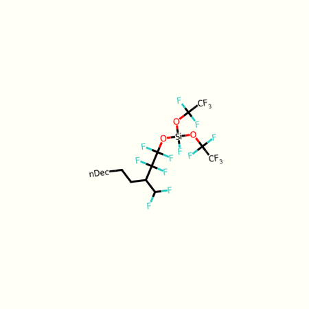 CCCCCCCCCCCCC(C(F)F)C(F)(F)C(F)(F)O[Si](F)(OC(F)(F)C(F)(F)F)OC(F)(F)C(F)(F)F